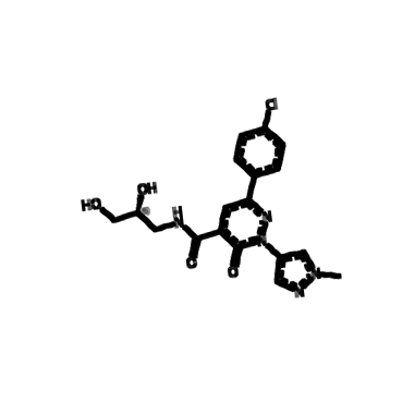 Cn1cc(-n2nc(-c3ccc(Cl)cc3)cc(C(=O)NC[C@H](O)CO)c2=O)cn1